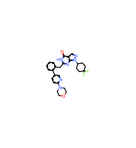 O=c1[nH]c(Cc2ccccc2-c2ccc(N3CCOCC3)nc2)nc2c1cnn2C1CCC(F)(F)CC1